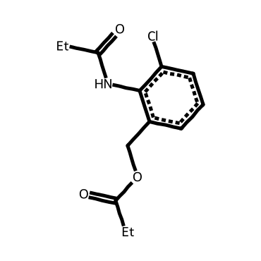 CCC(=O)Nc1c(Cl)cccc1COC(=O)CC